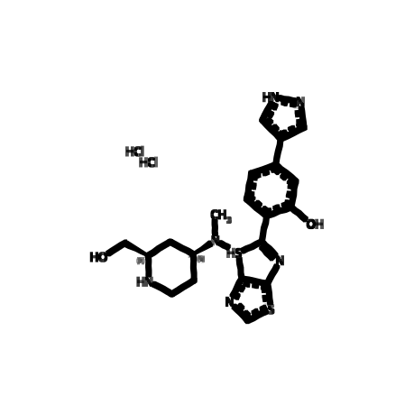 CN([C@H]1CCN[C@@H](CO)C1)[SH]1C(c2ccc(-c3cn[nH]c3)cc2O)=Nc2scnc21.Cl.Cl